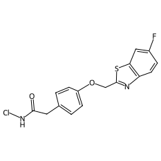 O=C(Cc1ccc(OCc2nc3ccc(F)cc3s2)cc1)NCl